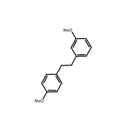 COc1ccc(C[CH]c2cccc(OC)c2)cc1